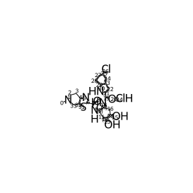 CN1CCc2nc(C(=O)N[C@H]3C[C@H](O)[C@H](O)C[C@H]3NC(=O)c3cc4cc(Cl)ccc4[nH]3)sc2C1.Cl